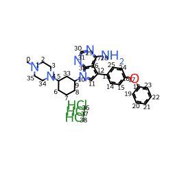 CN1CCN(C2CCCC(n3cc(-c4ccc(Oc5ccccc5)cc4)c4c(N)ncnc43)C2)CC1.Cl.Cl.Cl